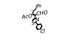 CC(=O)O/C(=C(/C=O)c1csc(-c2ccc(Cl)cc2)n1)[C@H](C)CC(C)C